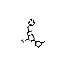 Cc1cccc(-c2nc(N)c3cc(Cc4cccnc4)sc3n2)c1